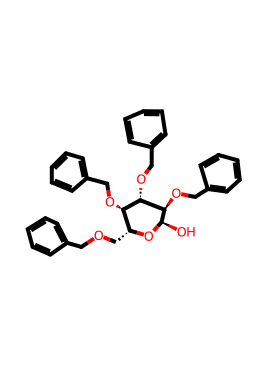 O[C@H]1O[C@H](COCc2ccccc2)[C@H](OCc2ccccc2)[C@H](OCc2ccccc2)[C@H]1OCc1ccccc1